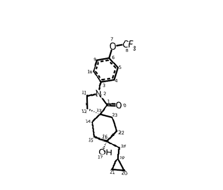 O=C1N(c2ccc(OC(F)(F)F)cc2)CC[C@]12CC[C@](O)(CC1CC1)CC2